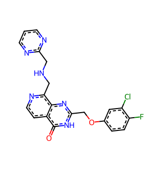 O=c1[nH]c(COc2ccc(F)c(Cl)c2)nc2c(CNCc3ncccn3)nccc12